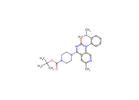 Cc1cc2c(N3CCN(C(=O)OC(C)(C)C)CC3)nc(=O)n(-c3ccccc3C(C)C)c2cn1